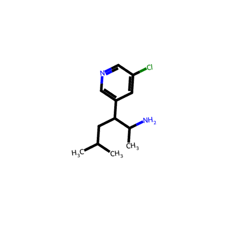 CC(C)CC(c1cncc(Cl)c1)C(C)N